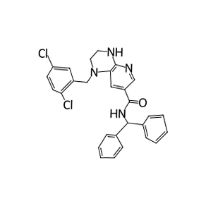 O=C(NC(c1ccccc1)c1ccccc1)c1cnc2c(c1)N(Cc1cc(Cl)ccc1Cl)CCN2